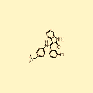 CN(C)Cc1ccc(NC(=C2C(=O)Nc3ccccc32)c2cccc(Cl)c2)cc1